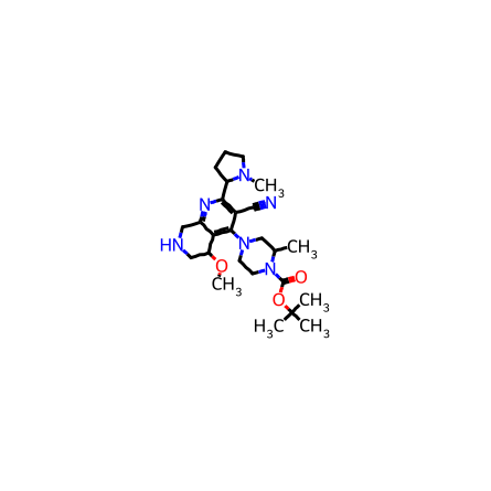 COC1CNCc2nc(C3CCCN3C)c(C#N)c(N3CCN(C(=O)OC(C)(C)C)C(C)C3)c21